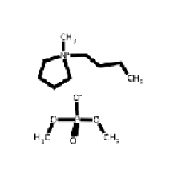 CCCC[N+]1(C)CCCC1.COP(=O)([O-])OC